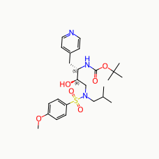 COc1ccc(S(=O)(=O)N(CC(C)C)C[C@@H](O)[C@H](Cc2ccncc2)NC(=O)OC(C)(C)C)cc1